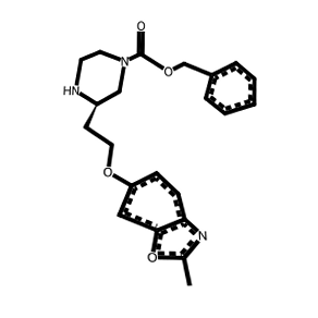 Cc1nc2ccc(OCC[C@@H]3CN(C(=O)OCc4ccccc4)CCN3)cc2o1